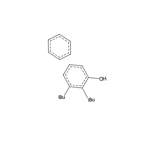 CCC(C)c1cccc(O)c1C(C)CC.c1ccccc1